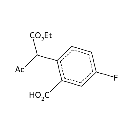 CCOC(=O)C(C(C)=O)c1ccc(F)cc1C(=O)O